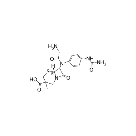 CC1(C(=O)O)CS[C@@H]2C(N(C(=O)CN)c3ccc(NC(N)=O)cc3)C(=O)N2C1